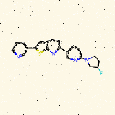 F[C@@H]1CCN(c2ccc(-c3ccc4cc(-c5cccnc5)sc4n3)cn2)C1